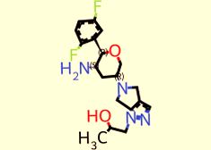 CC(O)Cn1ncc2c1CN([C@H]1CO[C@H](c3cc(F)ccc3F)[C@@H](N)C1)C2